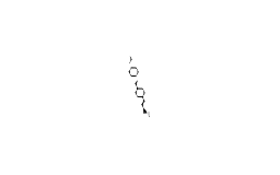 CCC[C@H]1CC[C@H](/C=C/C2CCC(C=CC#N)CC2)CC1